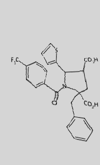 O=C(O)C1CC(Cc2ccccc2)(C(=O)O)N(C(=O)c2ccc(C(F)(F)F)cc2)C1c1cccs1